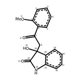 COc1ccccc1C(=O)CC1(O)C(=O)Nc2ccccc21